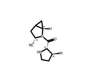 CC(C)[C@H]1CCN[C@@H]1C(=O)N1[C@H](C#N)CC2C[C@@H]21